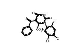 O=C(c1ccccc1)c1c(C(=O)O)n(-c2cc(Cl)c(Cl)cc2Cl)c(=O)[nH]c1=O